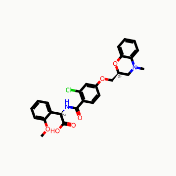 COc1ccccc1[C@H](NC(=O)c1ccc(OC[C@@H]2CN(C)c3ccccc3O2)cc1Cl)C(=O)O